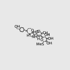 CSC1O[C@H]([C@H](NC(=O)[C@H]2NC[C@@H]3C[C@@H](c4ccc(CO)cc4)CCO[C@H]32)[C@H](C)Cl)C(O)[C@@H](O)[C@H]1O